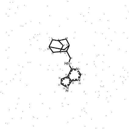 c1nc(NCC2C3CC4CC(C3)CC2C4)c2cc[nH]c2n1